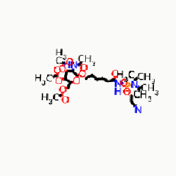 CC(=O)NC1C(OCCCCCC(=O)NOP(OCCC#N)N(C(C)C)C(C)C)OC(COC(C)=O)C(OC(C)=O)C1OC(C)=O